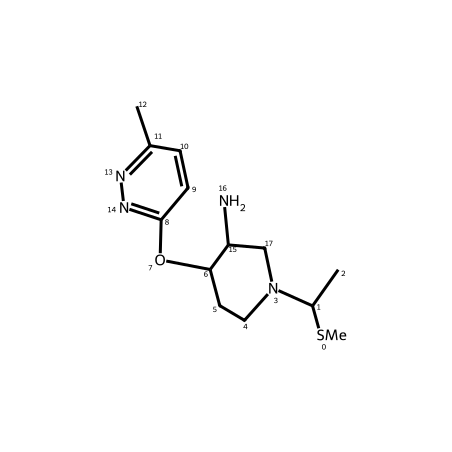 CSC(C)N1CCC(Oc2ccc(C)nn2)C(N)C1